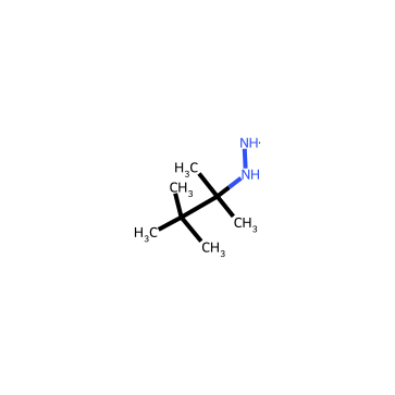 CC(C)(C)C(C)(C)N[NH]